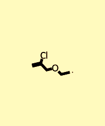 [CH2]COCC(=C)Cl